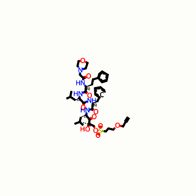 C#CCOCCCS(=O)(=O)OC[C@@](C)(O)C(=O)[C@H](CC(C)C)NC(=O)[C@H](Cc1ccccc1)NC(=O)[C@H](CC(C)C)NC(=O)[C@H](CCc1ccccc1)NC(=O)CN1CCOCC1